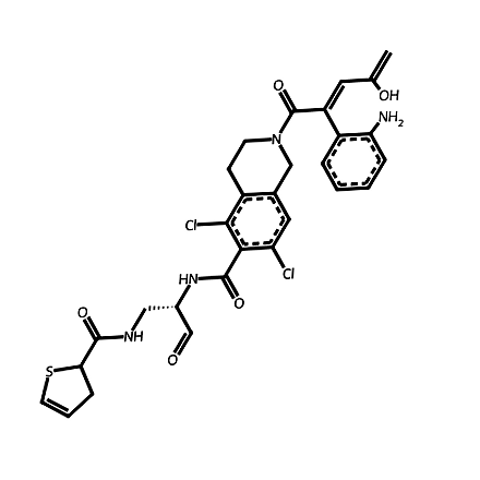 C=C(O)/C=C(/C(=O)N1CCc2c(cc(Cl)c(C(=O)N[C@H](C=O)CNC(=O)C3CC=CS3)c2Cl)C1)c1ccccc1N